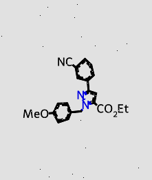 CCOC(=O)c1cc(-c2cccc(C#N)c2)nn1Cc1ccc(OC)cc1